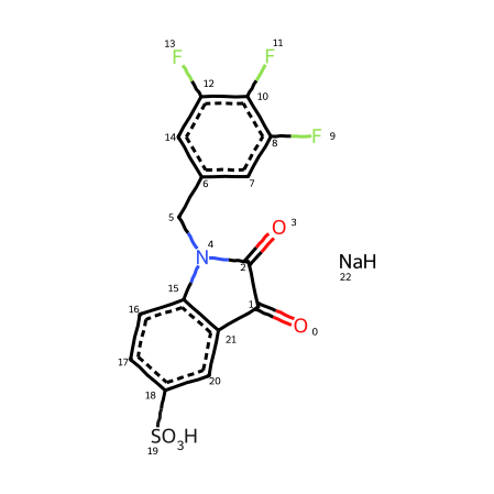 O=C1C(=O)N(Cc2cc(F)c(F)c(F)c2)c2ccc(S(=O)(=O)O)cc21.[NaH]